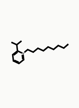 CCCCCCCCC[n+]1ccccc1C(C)C